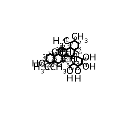 C[C@@H]1CC[C@]2(C[C@@H]3OC(CO)[C@@H](O)C(O)C3O)CC[C@]3(C)C(=CCC4[C@@]5(C)CCC(O)C(C)(C)C5CC[C@]43C)C2[C@H]1C